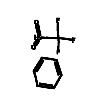 O=[SH](=O)C(F)(F)F.c1ccccc1